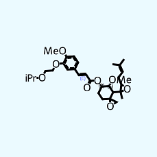 COc1ccc(/C=C/C(=O)O[C@@H]2CCC3(CO3)C(C3(C)OC3CC=C(C)C)[C@@H]2OC)cc1OCCOC(C)C